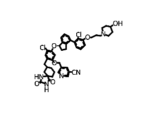 N#Cc1cncc(COc2cc(O[C@H]3CCc4c(-c5cccc(OCCCN6CCC(O)CC6)c5Cl)cccc43)c(Cl)cc2CC2CCCC3(C2)NC(=O)NC3=O)c1